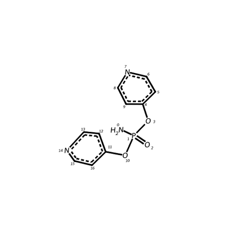 NP(=O)(Oc1ccncc1)Oc1ccncc1